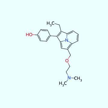 CCc1c(-c2ccc(O)cc2)c2cc(COCCN(C)C)c3cccc1n32